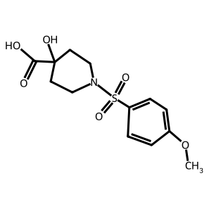 COc1ccc(S(=O)(=O)N2CCC(O)(C(=O)O)CC2)cc1